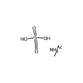 CC(C)=O.N.O=S(=O)(O)O